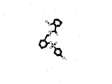 CCOc1ccccc1C(=O)N/N=C/c1ccccc1OS(=O)(=O)c1ccc(C(F)(F)F)cc1